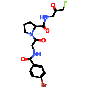 O=C(CF)CNC(=O)C1CCCN1C(=O)CNC(=O)c1ccc(Br)cc1